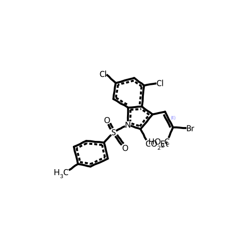 CCOC(=O)c1c(/C=C(/Br)C(=O)O)c2c(Cl)cc(Cl)cc2n1S(=O)(=O)c1ccc(C)cc1